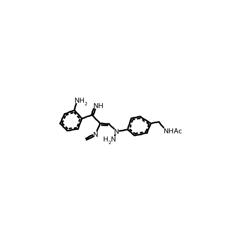 C=N/C(=C\N(N)c1ccc(CNC(C)=O)cc1)C(=N)c1ccccc1N